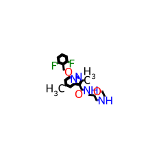 Cc1cc(OCc2c(F)cccc2F)n2nc(C)c(C(=O)NCC3CNCCO3)c2c1